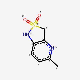 Cc1ccc2c(n1)CS(=O)(=O)N2